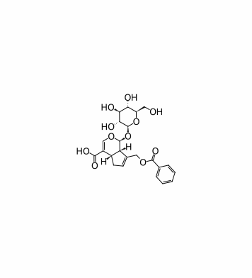 O=C(O)C1=CO[C@@H](O[C@@H]2O[C@H](CO)[C@@H](O)[C@H](O)[C@H]2O)[C@@H]2C(COC(=O)c3ccccc3)=CC[C@H]12